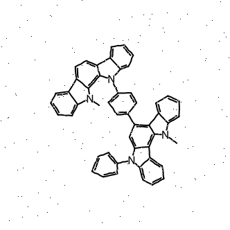 Cn1c2ccccc2c2c(-c3ccc(-n4c5ccccc5c5ccc6c7ccccc7n(C)c6c54)cc3)cc3c(c4ccccc4n3-c3ccccc3)c21